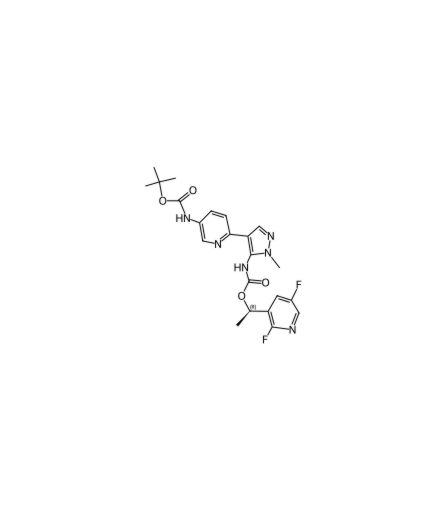 C[C@@H](OC(=O)Nc1c(-c2ccc(NC(=O)OC(C)(C)C)cn2)cnn1C)c1cc(F)cnc1F